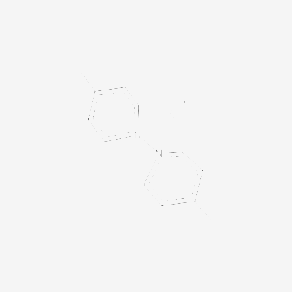 Cc1cc[n+](-[n+]2ccc(C)cc2)cc1.[Cl-].[Cl-]